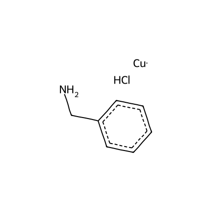 Cl.NCc1ccccc1.[Cu]